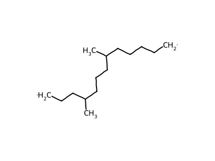 [CH2]CCCCC(C)CCCC(C)CC[CH2]